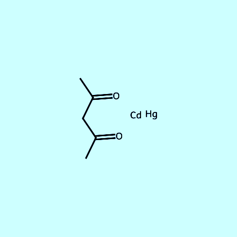 CC(=O)CC(C)=O.[Cd].[Hg]